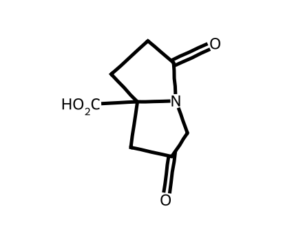 O=C1CN2C(=O)CCC2(C(=O)O)C1